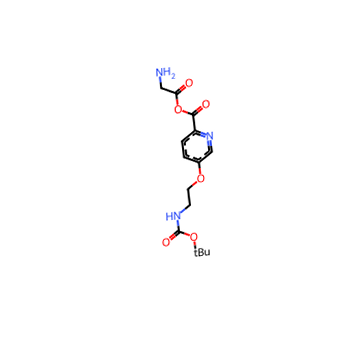 CC(C)(C)OC(=O)NCCOc1ccc(C(=O)OC(=O)CN)nc1